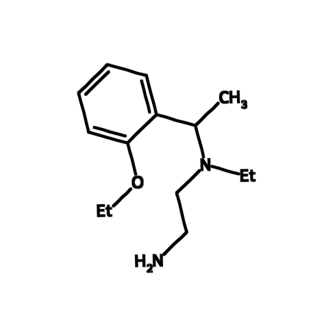 CCOc1ccccc1C(C)N(CC)CCN